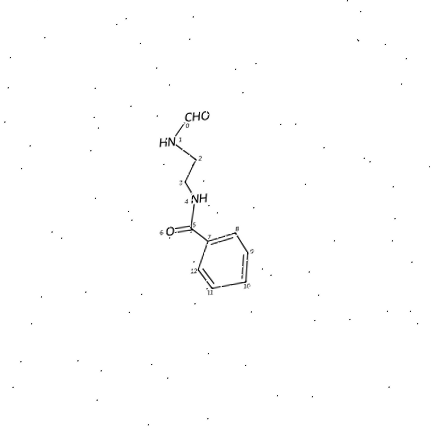 O=CNCCNC(=O)c1ccccc1